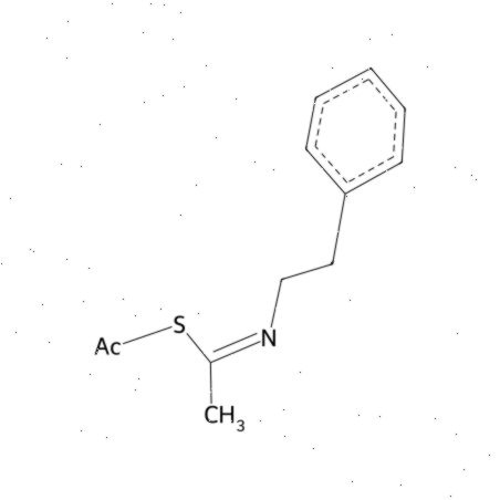 CC(=O)SC(C)=NCCc1ccccc1